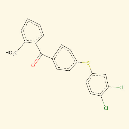 O=C(O)c1ccccc1C(=O)c1ccc(Sc2ccc(Cl)c(Cl)c2)cc1